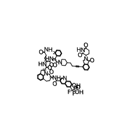 NC(=O)CC[C@H](NC(=O)[C@@H]1Cc2cccc3c2N1C(=O)[C@@H](NC(=O)c1cnc2ccc(C(F)(F)P(=O)(O)O)cc2c1)CC3)C(=O)N[C@H](C(=O)N1CCC(CCC#Cc2cccc3c2CN(C2CCC(=O)NC2=O)C3=O)CC1)c1ccccc1